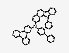 c1ccc(-c2ccc(N(c3ccc4c5ccccc5c5ccccc5c4c3)c3ccc4ccc5c6ccccc6n(-c6ccccc6)c5c4c3)cc2)cc1